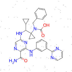 NC(=O)c1ncc(NC(C2CC2)C2(N(Cc3ccccc3)C(=O)O)CC2)nc1Nc1cccc(-c2ncccn2)c1